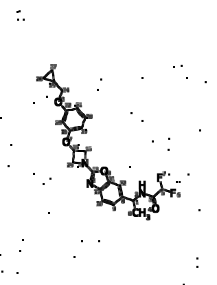 CC(NC(=O)C(F)F)c1ccc2nc(N3CC(Oc4cccc(OCC5CC5)c4)C3)oc2c1